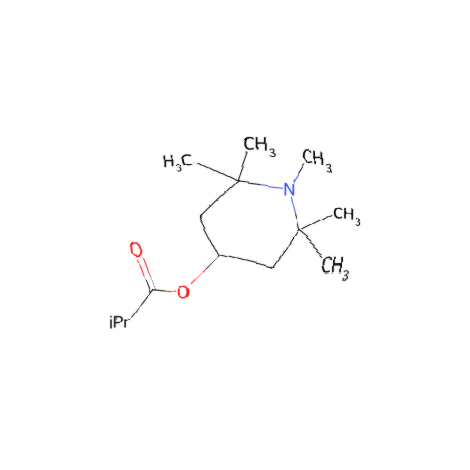 CC(C)C(=O)OC1CC(C)(C)N(C)C(C)(C)C1